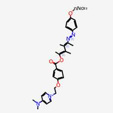 CCCCCCCCCOc1ccc(/N=N/C(C)=C(C)/C(C)=C(\C)OC(=O)c2ccc(OCC[n+]3ccc(N(C)C)cc3)cc2)cc1